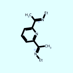 CC/N=C(\C)c1cccc(/C(C)=N/CC)n1